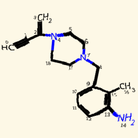 C#CC(=C)N1CCN(Cc2cccc(N)c2C)CC1